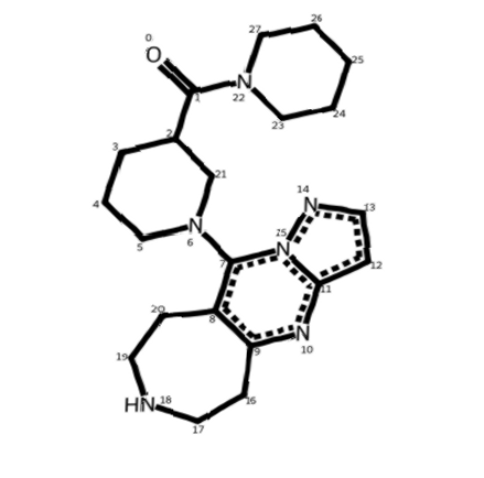 O=C(C1CCCN(c2c3c(nc4ccnn24)CCNCC3)C1)N1CCCCC1